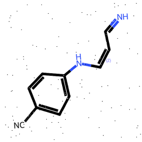 N#Cc1ccc(N/C=C\C=N)cc1